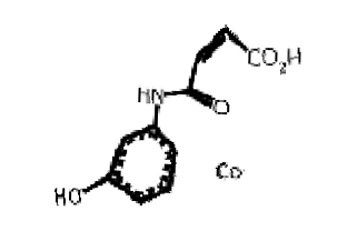 O=C(O)/C=C\C(=O)Nc1cccc(O)c1.[Co]